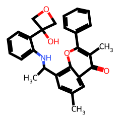 Cc1cc(C(C)Nc2ccccc2C2(O)COC2)c2oc(-c3ccccc3)c(C)c(=O)c2c1